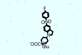 CC(C)(C)[N+]1(C(=O)[O-])CCC(N2CCc3cc(S(=O)(=O)c4ccc(F)cc4)ccc32)CC1